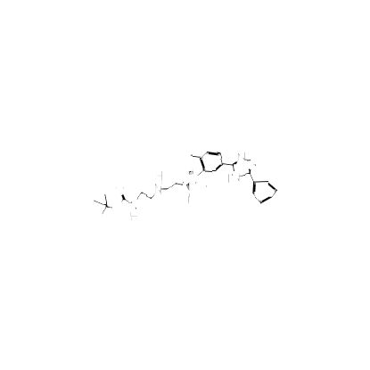 Cc1ccc(-c2nnc(-c3ccccc3)[nH]2)cc1S(=O)(=O)NCCNCCNC(=O)OC(C)(C)C